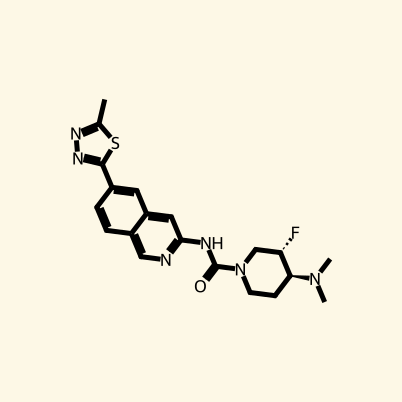 Cc1nnc(-c2ccc3cnc(NC(=O)N4CC[C@H](N(C)C)[C@@H](F)C4)cc3c2)s1